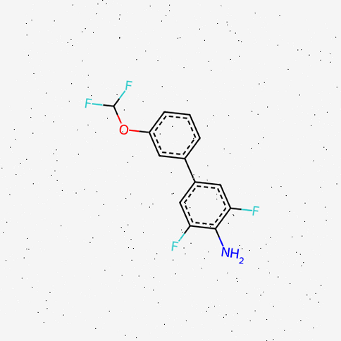 Nc1c(F)cc(-c2cccc(OC(F)F)c2)cc1F